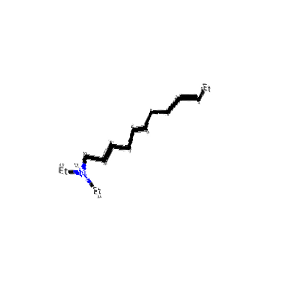 CCC=CCCCCCCCCN(CC)CC